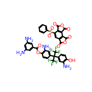 Nc1cc(N)cc(C(=O)Oc2ccc(C(c3ccc(O)c(N)c3)(C(F)(F)F)C(F)(F)F)cc2N)c1.O=c1oc(=O)c2c1cc(S(=O)(=O)c1ccccc1)c1c(=O)oc(=O)c12